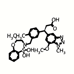 COc1cc([C@H](CC(=O)O)c2ccc(C)c(CN3C[C@@H](C)Oc4ccccc4S3(O)O)c2)cc2nnn(C)c12